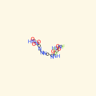 C[C@@H]1CN(c2ccc(-c3cnc4[nH]cc(C(=O)c5c(F)ccc(NS(=O)(=O)N6CC[C@@H](F)C6)c5F)c4c3)cc2)C[C@H](C)N1CC1CN(c2ccc3c(c2)CN(C2CCC(=O)NC2=O)C3=O)C1